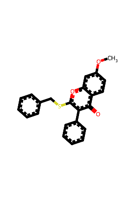 COc1ccc2c(=O)c(-c3ccccc3)c(SCc3ccccc3)oc2c1